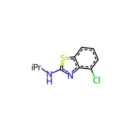 CC(C)Nc1nc2c(Cl)cccc2s1